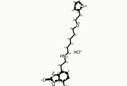 Cl.O=c1[nH]c2c(O)ccc(CCNCCCCCCOCCc3cccs3)c2s1